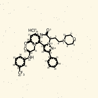 Cl.NC(=O)C(CCN1CCOCC1)n1nc(-c2ccccc2)cc1-c1cccc(=O)n1CC(=O)Nc1cccc(C(F)(F)F)c1